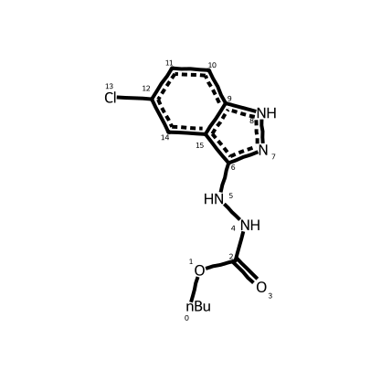 CCCCOC(=O)NNc1n[nH]c2ccc(Cl)cc12